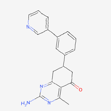 Cc1nc(N)nc2c1C(=O)CC(c1cccc(-c3cccnc3)c1)C2